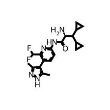 Cc1n[nH]c(C)c1-c1ccc(NC(=O)[C@@H](N)C(C2CC2)C2CC2)nc1C(F)F